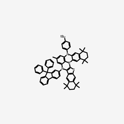 Cc1cc2c3c(c1)N(c1ccc4c(c1)C(c1ccccc1)(c1ccccc1)c1ccccc1-4)c1c(sc4cc5c(cc14)C(C)(C)CCC5(C)C)B3c1cc3c(cc1N2c1ccc(C(C)(C)C)cc1)C(C)(C)CCC3(C)C